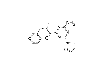 CN(Cc1ccccc1)C(=O)c1cc(-c2ccco2)nc(N)n1